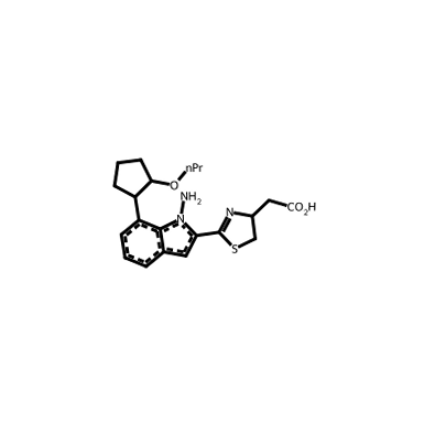 CCCOC1CCCC1c1cccc2cc(C3=NC(CC(=O)O)CS3)n(N)c12